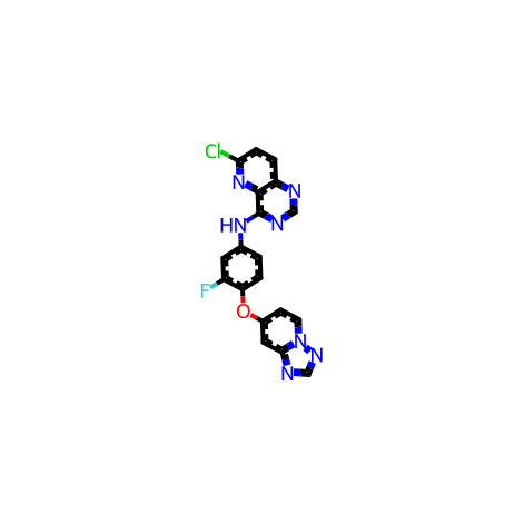 Fc1cc(Nc2ncnc3ccc(Cl)nc23)ccc1Oc1ccn2ncnc2c1